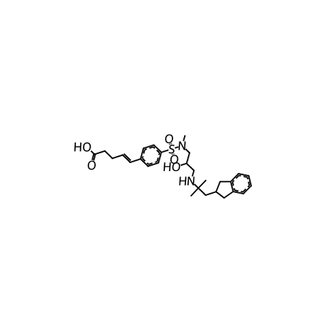 CN(CC(O)CNC(C)(C)CC1Cc2ccccc2C1)S(=O)(=O)c1ccc(C=CCCC(=O)O)cc1